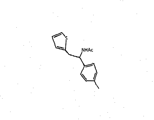 CC(=O)NC(Cc1cccs1)c1ccc(C)cc1